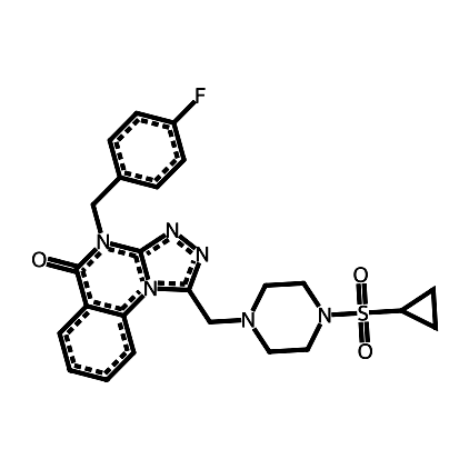 O=c1c2ccccc2n2c(CN3CCN(S(=O)(=O)C4CC4)CC3)nnc2n1Cc1ccc(F)cc1